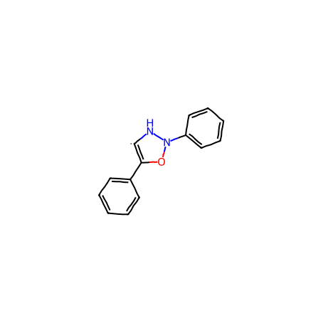 [C]1=C(c2ccccc2)ON(c2ccccc2)N1